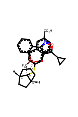 O=C(O)c1ccc2cc(S[C@@H]3[C@@H]4CC[C@H]3C[C@@H](OCc3c(-c5ccccc5OC(F)(F)F)noc3C3CC3)C4)ccc2c1